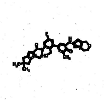 Cn1cc(-c2cc(F)cc(N3CCn4c(cc5c4CC(C)(C)C5)C3=O)c2CO)cc(Nc2cc3n(n2)CCOC3)c1=O